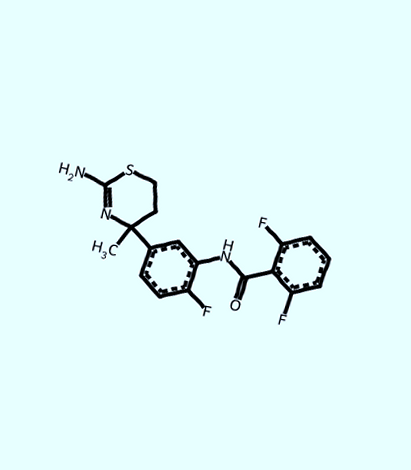 CC1(c2ccc(F)c(NC(=O)c3c(F)cccc3F)c2)CCSC(N)=N1